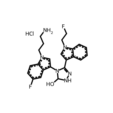 Cl.NCCCn1cc(N2C(c3cn(CCF)c4ccccc34)=NNC2O)c2cc(F)ccc21